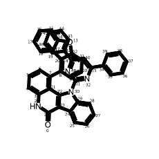 O=c1[nH]c2cccc(-c3cccc4oc5ccccc5c34)c2c2c1c1ccccc1n2-c1nc(-c2ccccc2)cc(-c2ccccc2)n1